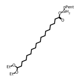 CCCCC[SiH2]OC(=O)CCCCCCCCCCCCCCCCC(OCC)OCC